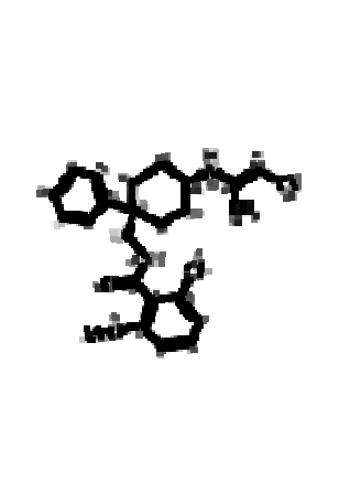 COc1cccc(O)c1C(=O)NC[C@]1(c2ccccc2)CC[C@H](N/C(N)=N/C#N)CC1